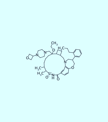 CCCc1ccccc1C1COc2ccc3cc2N(C1)CC1CCC1C(CN1CCN(C2COC2)CC1)(OCC)CCCC(C)C(C)[S+]([O-])NC3=O